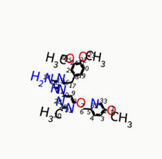 COc1ccc(COc2cc(-n3nc(N)nc3Cc3ccc(OC)c(OC)c3)nc(C)n2)nc1